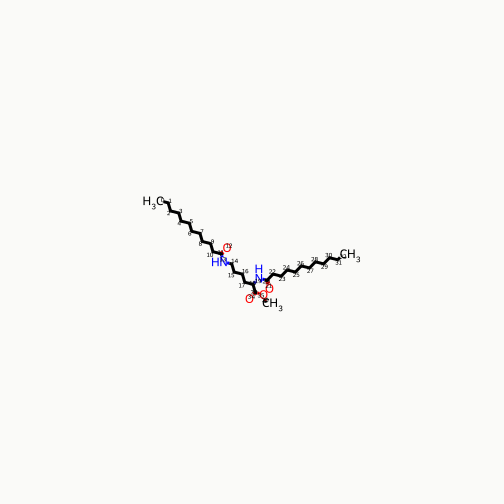 CCCCCCCCCCCC(=O)NCCCCC(NC(=O)CCCCCCCCCCC)C(=O)OC